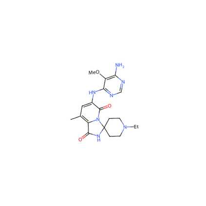 CCN1CCC2(CC1)NC(=O)c1c(C)cc(Nc3ncnc(N)c3OC)c(=O)n12